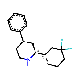 FC1(F)CCC[C@H]([C@@H]2CC(c3ccccc3)CCN2)C1